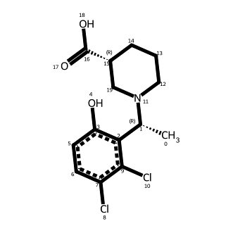 C[C@H](c1c(O)ccc(Cl)c1Cl)N1CCC[C@@H](C(=O)O)C1